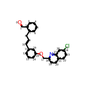 O=Cc1ccccc1CC=Cc1cccc(OCc2ccc3ccc(Cl)cc3n2)c1